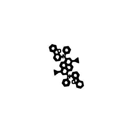 C1=CC2c3ccccc3OC2C(N(C2=c3ccc4c5c(ccc(c35)C(C3CC3)C2)C(N(c2ccccc2)c2cccc3c5c(oc23)C=CCC5)CC=4C2CC2)c2ccccc2)=C1